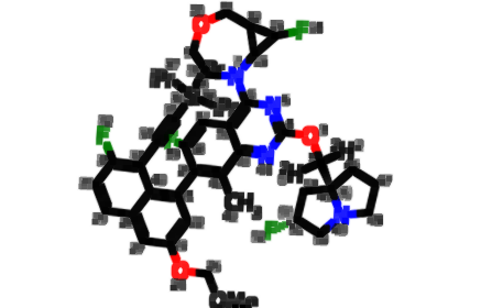 [2H]C([2H])(Oc1nc(N2CCOCC3C(F)C32)c2cc(F)c(-c3cc(OCOC)cc4ccc(F)c(C#C[Si](C(C)C)(C(C)C)C(C)C)c34)c(C)c2n1)[C@@]12CCCN1C[C@H](F)C2